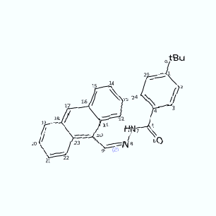 CC(C)(C)c1ccc(C(=O)N/N=C\c2c3ccccc3cc3ccccc23)cc1